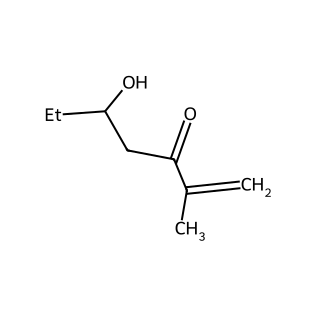 C=C(C)C(=O)CC(O)CC